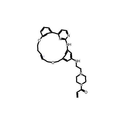 C=CC(=O)N1CCN(CCNc2cc3cc(c2)Nc2nccc(n2)-c2cccc(c2)OCC/C=C/COC3)CC1